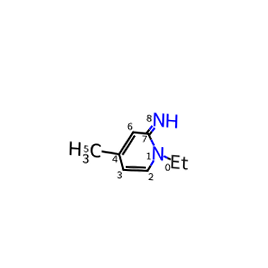 CCn1ccc(C)cc1=N